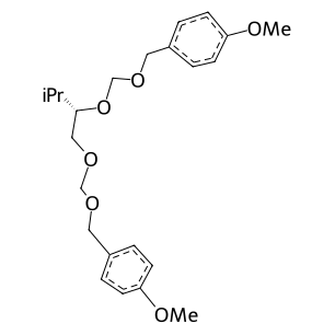 COc1ccc(COCOC[C@@H](OCOCc2ccc(OC)cc2)C(C)C)cc1